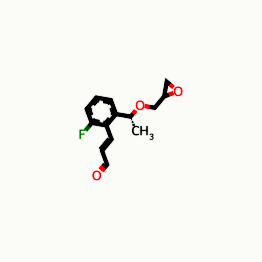 C[C@@H](OCC1CO1)c1cccc(F)c1/C=C/C=O